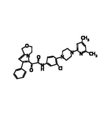 Cc1cc(C)nc(N2CCN(c3ccc(NC(=O)C(=O)c4c(-c5ccccc5)cc5n4CCOC5)cc3Cl)CC2)c1